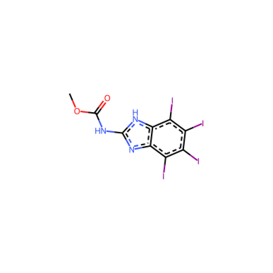 COC(=O)Nc1nc2c(I)c(I)c(I)c(I)c2[nH]1